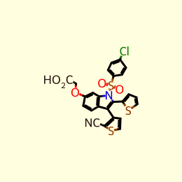 N#Cc1sccc1-c1c(-c2cccs2)n(S(=O)(=O)c2ccc(Cl)cc2)c2cc(OCC(=O)O)ccc12